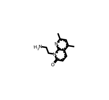 Cc1cc(C)c2ccc(=O)n(CCN)c2n1